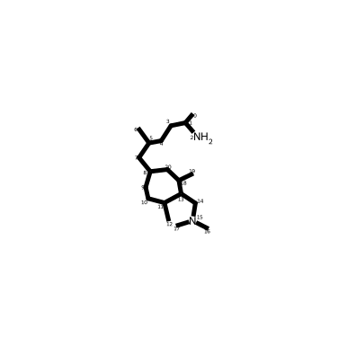 CC(N)CCC(C)CC1CCC(C)C(CN(C)C)C(C)C1